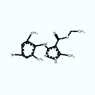 CCOC(=O)c1c(Nc2c(C)cc(Br)cc2C)n[nH]c1C